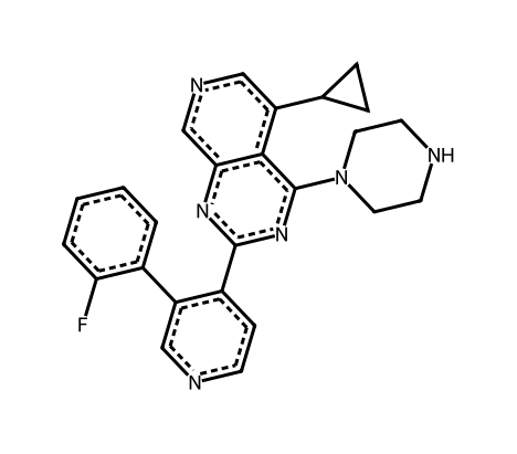 Fc1ccccc1-c1cnccc1-c1nc(N2CCNCC2)c2c(C3CC3)cncc2n1